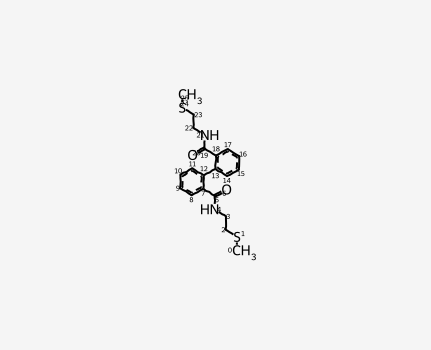 CSCCNC(=O)c1ccccc1-c1ccccc1C(=O)NCCSC